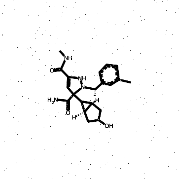 CNC(=O)C1=CC(C(N)=O)(C2[C@H]3CC(O)C[C@@H]23)N([C@@H](C)c2cccc(C)c2)N1